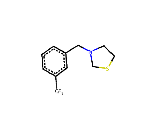 FC(F)(F)c1cccc(CN2CCSC2)c1